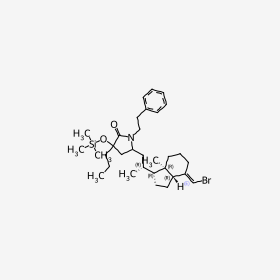 CCCC1(O[Si](C)(C)C)CC(C[C@@H](C)[C@H]2CC[C@H]3/C(=C/Br)CCC[C@]23C)N(CCc2ccccc2)C1=O